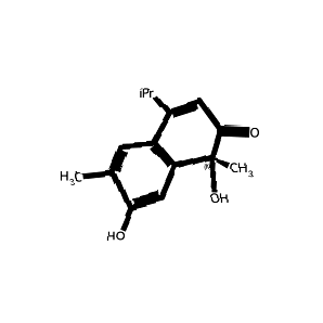 Cc1cc2c(cc1O)[C@@](C)(O)C(=O)C=C2C(C)C